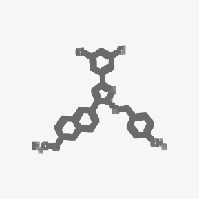 COc1ccc2cc(-c3cc(-c4cc(Cl)cc(Cl)c4)nn3OCc3ccc(C)cc3)ccc2c1